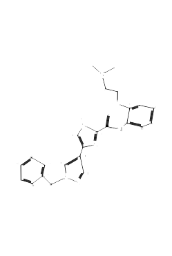 CN(C)CCOc1ccccc1NC(=O)c1nc(-c2cnn(Cc3ccccc3)c2)c[nH]1